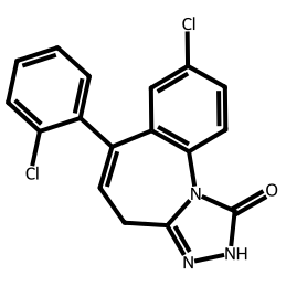 O=c1[nH]nc2n1-c1ccc(Cl)cc1C(c1ccccc1Cl)=CC2